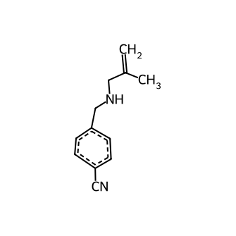 C=C(C)CNCc1ccc(C#N)cc1